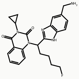 NCc1ccc2[nH]c(C(CCCCF)n3c(=O)n(C4CC4)c(=O)c4ccccc43)nc2c1